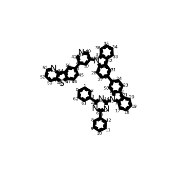 c1ccc(-c2nc(-c3ccccc3)nc(-n3c4ccccc4c4ccc(-c5ccc6c(c5)c5ccccc5n6-c5cncc(-c6ccc7sc8cccnc8c7c6)c5)cc43)n2)cc1